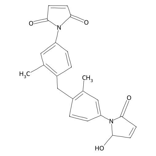 Cc1cc(N2C(=O)C=CC2=O)ccc1Cc1ccc(N2C(=O)C=CC2O)cc1C